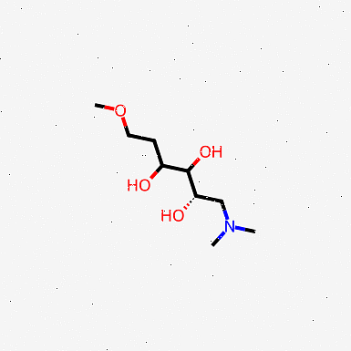 COCCC(O)C(O)[C@@H](O)CN(C)C